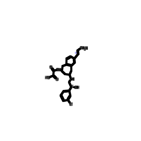 O=C(O)/C=C/c1ccc2c(c1)CC(NC[C@H](O)c1cccc(Cl)c1)CCC2.O=C(O)C(=O)O